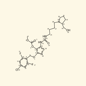 COC(=O)Oc1c(OCc2c(F)cc(Cl)cc2F)nsc1NC(=O)NCCCCN1CCCC1CO